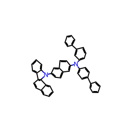 c1ccc(-c2ccc(N(c3cccc(-c4ccccc4)c3)c3ccc4cc(-n5c6ccccc6c6ccc7ccccc7c65)ccc4c3)cc2)cc1